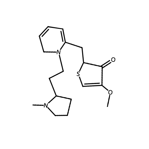 COC1=CSC(CC2=CC=CCN2CCC2CCCN2C)C1=O